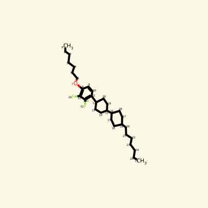 CCCCCCCOc1ccc(C2CCC(C3CCC(CCCCCCC)CC3)CC2)c(F)c1F